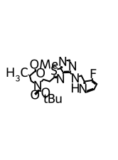 COC(=O)[C@@H](C)CN(CCc1nc2c(NCc3ncccc3F)ncnc2s1)C(=O)OC(C)(C)C